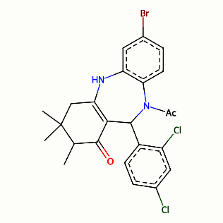 CC(=O)N1c2ccc(Br)cc2NC2=C(C(=O)C(C)C(C)(C)C2)C1c1ccc(Cl)cc1Cl